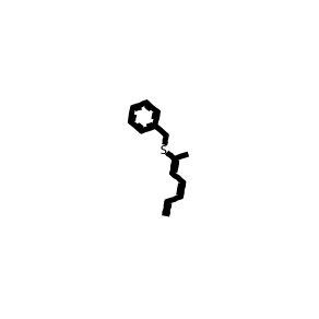 C=C/C=C\C=C(/C)SCc1ccccc1